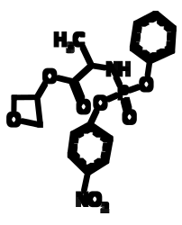 CC(NP(=O)(Oc1ccccc1)Oc1ccc([N+](=O)[O-])cc1)C(=O)OC1COC1